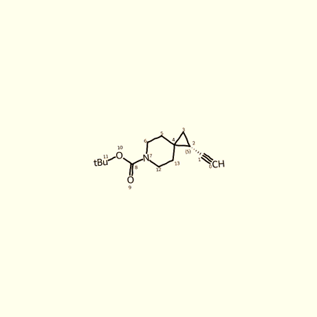 C#C[C@H]1CC12CCN(C(=O)OC(C)(C)C)CC2